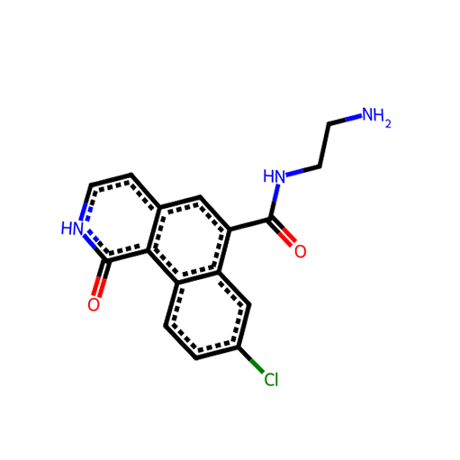 NCCNC(=O)c1cc2cc[nH]c(=O)c2c2ccc(Cl)cc12